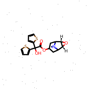 CN1C2CC(OC(=O)C(O)(c3cccs3)c3cccs3)CC1[C@@H]1O[C@H]21